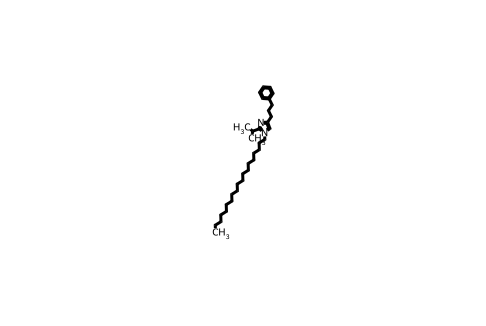 CCCCCCCCCCCCCCCCCCCn1cc(CCCc2ccccc2)nc1C(C)C